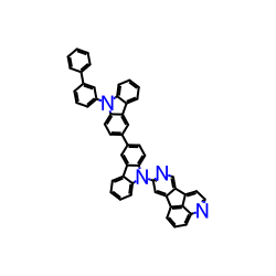 c1ccc(-c2cccc(-n3c4ccccc4c4cc(-c5ccc6c(c5)c5ccccc5n6-c5cc6c(cn5)-c5ccnc7cccc-6c57)ccc43)c2)cc1